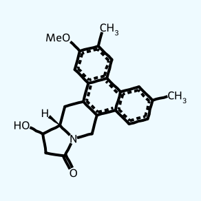 COc1cc2c3c(c4ccc(C)cc4c2cc1C)CN1C(=O)CC(O)[C@@H]1C3